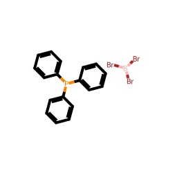 BrB(Br)Br.c1ccc(P(c2ccccc2)c2ccccc2)cc1